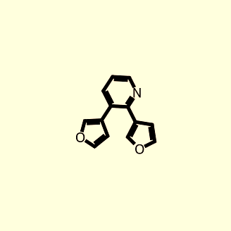 c1cnc(-c2ccoc2)c(-c2ccoc2)c1